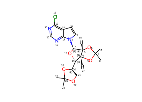 CC1(C)O[C@H]2[C@@H](O1)[C@H](n1ccc3c(Cl)ncnc31)O[C@H]2[C@H]1COC(C)(C)O1